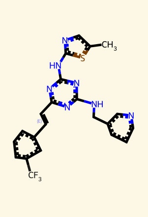 Cc1cnc(Nc2nc(/C=C/c3cccc(C(F)(F)F)c3)nc(NCc3cccnc3)n2)s1